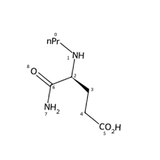 CCCN[C@@H](CCC(=O)O)C(N)=O